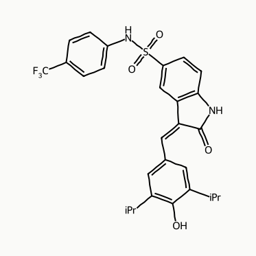 CC(C)c1cc(C=C2C(=O)Nc3ccc(S(=O)(=O)Nc4ccc(C(F)(F)F)cc4)cc32)cc(C(C)C)c1O